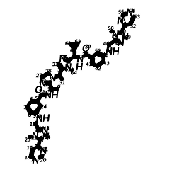 CC(NC(=O)c1cccc(NCc2nnc(-c3ccncn3)n2C)c1)c1nccn1C(C)c1cnc(C(NC(=O)c2cccc(NCc3nnc(-c4ccncn4)n3C)c2)C2CC2)n1C